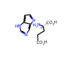 N[C@@H](CCC(=O)O)C(=O)O.c1cc2[nH]cncc-2n1